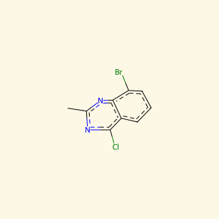 Cc1nc(Cl)c2cccc(Br)c2n1